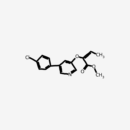 CC=C(Oc1cncc(-c2ccc(Cl)cc2)c1)C(=O)OC